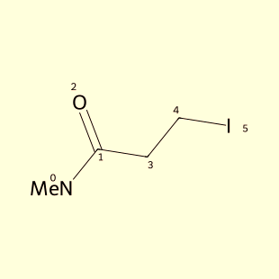 CNC(=O)CCI